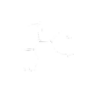 CC(=O)NOC(=O)C(C)C(=O)ONC(C)=O.CC[O-].[Na+]